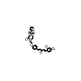 COc1ccc(C=CC(=O)C=Cc2ccc(OCCN3CCN(S(=O)(=O)c4cccs4)CC3=O)cc2)c(OC)c1